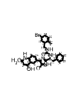 C=C1C=C(O)c2cc(-c3nc([C@H](Cc4ccccc4)NC(=O)NCc4cc(Br)ccc4F)[nH]c3Cl)ccc2N1